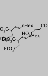 CCCCCCC=CC(CC(=O)OCC)C(=O)OCC.CCCCCCC=CC(CC(=O)OCC)C(=O)OCC.O=C(O)CCC(=O)O